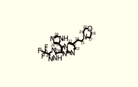 FC(F)(F)c1n[nH]c(-c2nc3ncc(CCN4CCOCC4)cn3c2-c2cnc[nH]2)n1